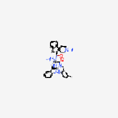 Cc1cccc(CNC(=O)[C@H](Cc2c[nH]c3ccccc23)NC(=O)C2Cc3ccccc3C23CCNCC3)c1